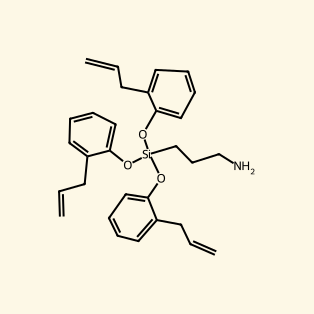 C=CCc1ccccc1O[Si](CCCN)(Oc1ccccc1CC=C)Oc1ccccc1CC=C